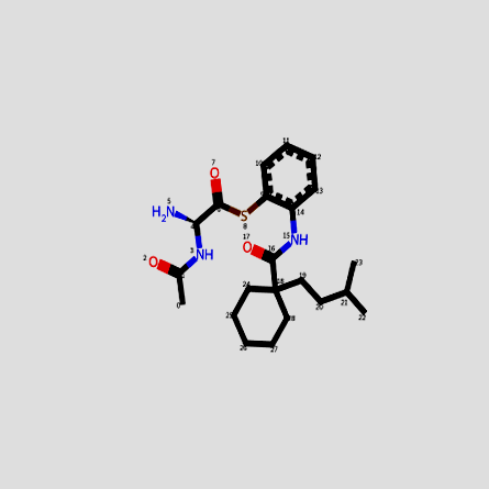 CC(=O)N[C@@H](N)C(=O)Sc1ccccc1NC(=O)C1(CCC(C)C)CCCCC1